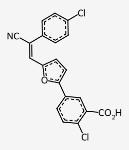 N#CC(=Cc1ccc(-c2ccc(Cl)c(C(=O)O)c2)o1)c1ccc(Cl)cc1